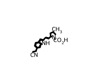 CC1CC(C=Cc2cc3ccc(CCC#N)cc3[nH]2)N(C(=O)O)C1